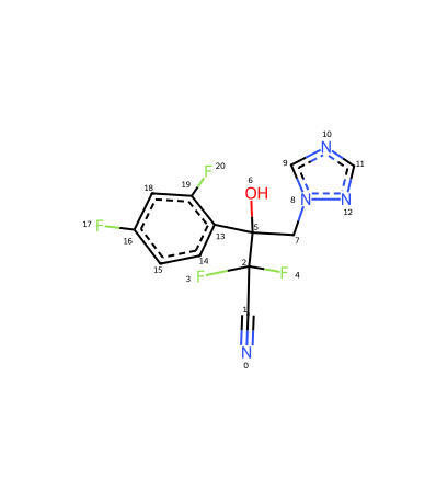 N#CC(F)(F)C(O)(Cn1cncn1)c1ccc(F)cc1F